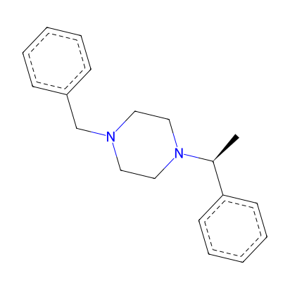 C[C@@H](c1ccccc1)N1CCN(Cc2ccccc2)CC1